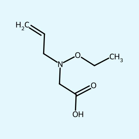 C=CCN(CC(=O)O)OCC